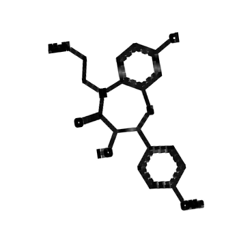 CNCCN1C(=O)C(O)C(c2ccc(OC)cc2)Sc2cc(Cl)ccc21